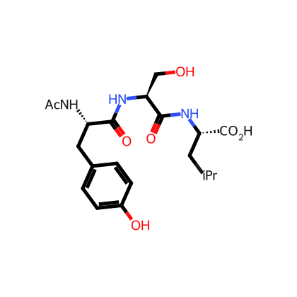 CC(=O)N[C@@H](Cc1ccc(O)cc1)C(=O)N[C@@H](CO)C(=O)N[C@@H](CC(C)C)C(=O)O